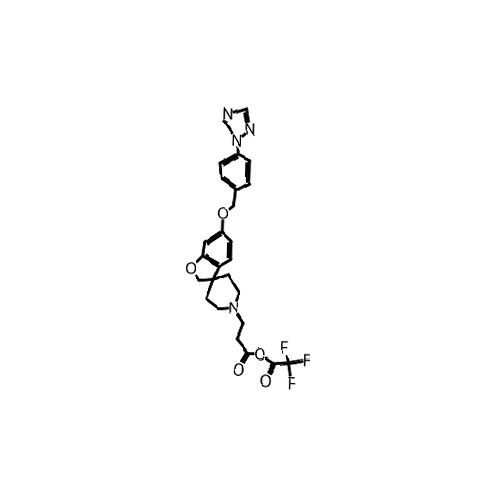 O=C(CCN1CCC2(CC1)COc1cc(OCc3ccc(-n4cncn4)cc3)ccc12)OC(=O)C(F)(F)F